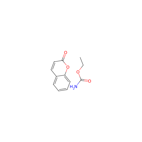 CCOC(N)=O.O=c1ccc2ccccc2o1